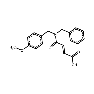 COc1ccc(CN(Cc2ccccc2)C(=O)C=CC(=O)O)cc1